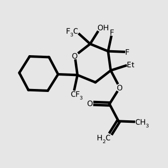 C=C(C)C(=O)OC1(CC)CC(C2CCCCC2)(C(F)(F)F)OC(O)(C(F)(F)F)C1(F)F